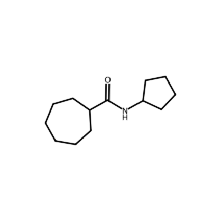 O=C(NC1CCCC1)C1CCCCCC1